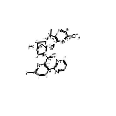 Cc1ccc(-c2ncccn2)c(C(=O)N2C[C@H]3C[C@@H](Nc4cnc(C(F)(F)F)cn4)[C@@H]2C3)n1